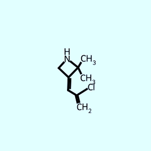 C=C(Cl)/C=C1/CNC1(C)C